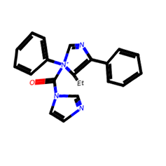 CCC1=C(c2ccccc2)N=C[N+]1(C(=O)n1ccnc1)c1ccccc1